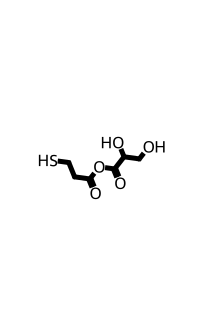 O=C(CCS)OC(=O)C(O)CO